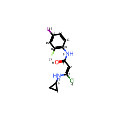 O=C(/C=C(/Cl)NC1CC1)Nc1ccc(I)cc1F